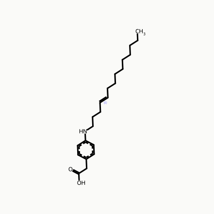 CCCCCCCCC/C=C/CCCNc1ccc(CC(=O)O)cc1